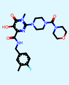 Cc1cc(CNC(=O)c2nc(N3CCN(C(=O)N4CCOCC4)CC3)n(C)c(=O)c2O)ccc1F